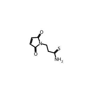 NC(=S)CCN1C(=O)C=CC1=O